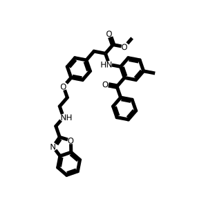 COC(=O)C(Cc1ccc(OCCNCc2nc3ccccc3o2)cc1)Nc1ccc(C)cc1C(=O)c1ccccc1